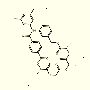 Cc1cc(C)cc(NC(=O)c2ccc(C(=O)O[C@@H](C)C(=O)O[C@@H](C)C(=O)O[C@@H](C)C(=O)O[C@@H](C)C(=O)OCc3ccccc3)cc2)c1